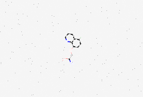 CCCCOC(=N)COc1ccc(Cl)c2cccnc12